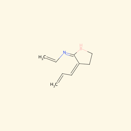 C=C/C=C1/CCB/C1=N/C=C